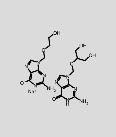 Nc1nc([O-])c2ncn(COCCO)c2n1.Nc1nc2c(ncn2COC(CO)CO)c(=O)[nH]1.[Na+]